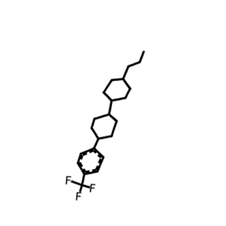 CCCC1CCC(C2CCC(c3ccc(C(F)(F)F)cc3)CC2)CC1